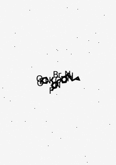 CC(c1cc(F)cnc1Oc1ccc2c(nnn2CC2CC2)c1Br)N1CCS(=O)(=O)CC1